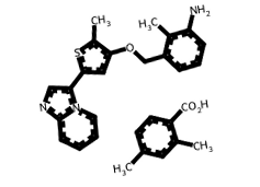 Cc1ccc(C(=O)O)c(C)c1.Cc1sc(-c2cnc3ccccn23)cc1OCc1cccc(N)c1C